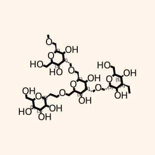 CC[C@H]1C(O)[C@H](COC[C@H]2C(O)[C@H](COC[C@H]3C(O)[C@H](COC)OC(CO)[C@H]3O)OC(COCC[C@@H]3OC(CO)[C@@H](O)[C@@H](O)C3O)[C@H]2O)OC(CO)[C@H]1O